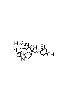 CCc1nc(C)ccc1OCC(=O)N1CCc2nc3sccn3c2C1c1c(C)nn(C)c1C